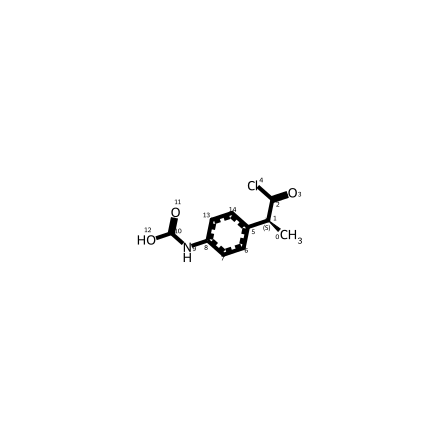 C[C@H](C(=O)Cl)c1ccc(NC(=O)O)cc1